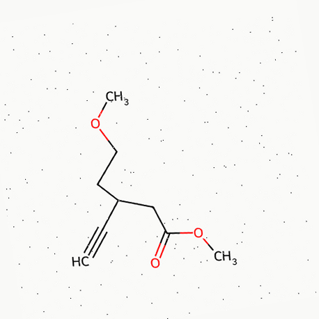 C#CC(CCOC)CC(=O)OC